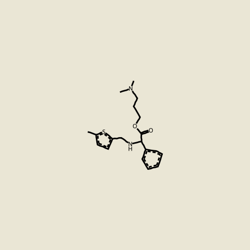 Cc1ccc(CNC(C(=O)OCCCN(C)C)c2ccccc2)s1